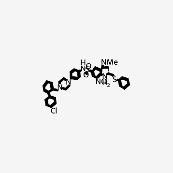 CNCC[C@H](CSc1ccccc1)Nc1ccc(S(=O)(=O)Nc2ccc(N3CCN(Cc4ccccc4-c4ccc(Cl)cc4)CC3)cc2)cc1[N+](=O)[O-]